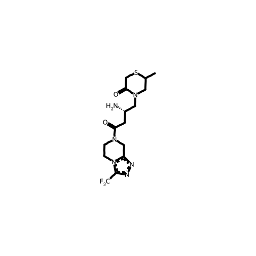 CC1CN(C[C@@H](N)CC(=O)N2CCn3c(nnc3C(F)(F)F)C2)C(=O)CS1